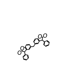 O=C1Oc2ccc(Cc3ccc4c(c3)C(c3ccccc3)C(=O)O4)cc2C1c1ccccc1